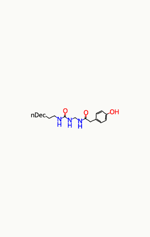 CCCCCCCCCCCCNC(=O)NCNC(=O)Cc1ccc(O)cc1